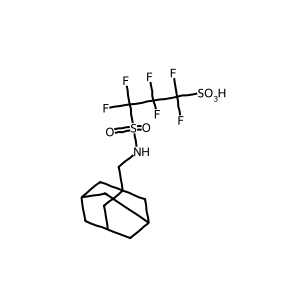 O=S(=O)(O)C(F)(F)C(F)(F)C(F)(F)S(=O)(=O)NCC12CC3CC(CC(C3)C1)C2